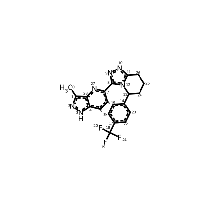 Cc1n[nH]c2ccc(-c3nnc4n3C(c3ccc(C(F)(F)F)cc3)CCC4)nc12